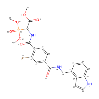 COC(=O)C(NC(=O)c1ccc(C(=O)NCc2cccc3[nH]ccc23)cc1Br)P(=O)(OC)OC